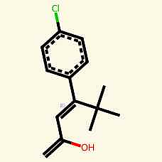 C=C(O)/C=C(/c1ccc(Cl)cc1)C(C)(C)C